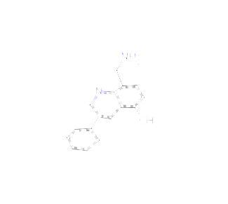 Cc1ccc(CN)c2ncc(-c3ccccc3)cc12